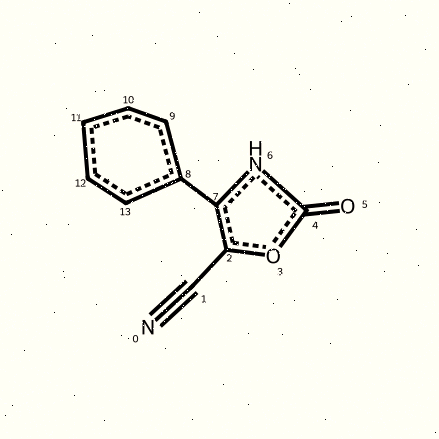 N#Cc1oc(=O)[nH]c1-c1ccccc1